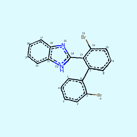 Brc1ccccc1-c1cccc(Br)c1-c1nc2ccccc2[nH]1